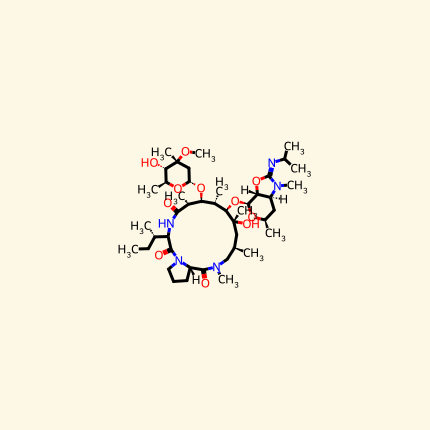 CC[C@H](C)C1NC(=O)[C@H](C)[C@@H](O[C@H]2C[C@@](C)(OC)[C@@H](O)[C@H](C)O2)[C@H](C)[C@@H](O[C@@H]2O[C@H](C)C[C@H]3[C@H]2O/C(=N/C(C)C)N3C)[C@](C)(O)C[C@@H](C)CN(C)C(=O)[C@@H]2CCCN2C1=O